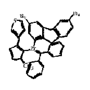 CC1C=CC(c2ccsc2)=[C]1[Zr](=[C](c1ccccc1)c1ccccc1)[c]1cc(C(C)(C)C)cc2c1Cc1ccc(C(C)(C)C)cc1-2